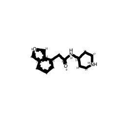 O=C(Cc1cccc2cocc12)NC1CCNCC1